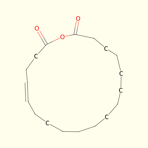 O=C1CC/C=C/CCCCCCCCCCCCC(=O)O1